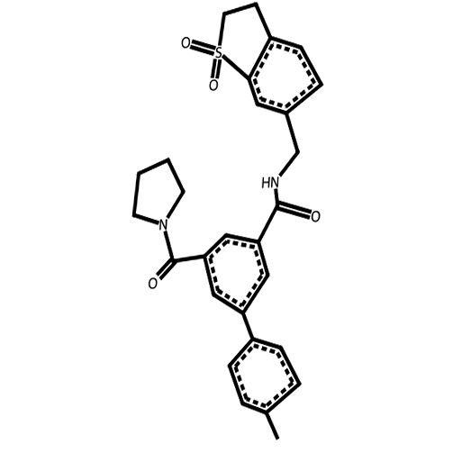 Cc1ccc(-c2cc(C(=O)NCc3ccc4c(c3)S(=O)(=O)CC4)cc(C(=O)N3CCCC3)c2)cc1